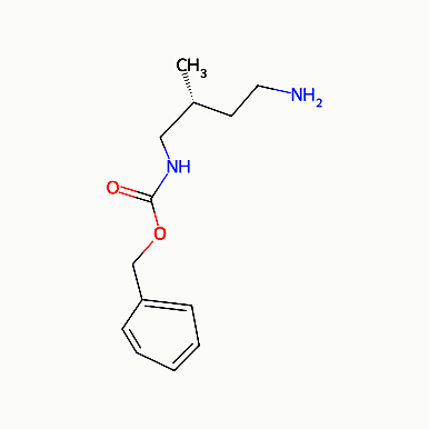 C[C@H](CCN)CNC(=O)OCc1ccccc1